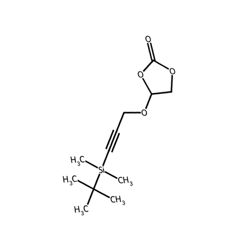 CC(C)(C)[Si](C)(C)C#CCOC1COC(=O)O1